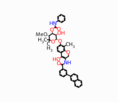 CO[C@@H]1[C@@H](OC(=O)Nc2ccccc2)[C@@H](O)[C@H](Oc2ccc3c(c2C)OCC(NC(=O)c2cccc(-c4ccc5ccccc5c4)c2)=C3O)OC1(C)C